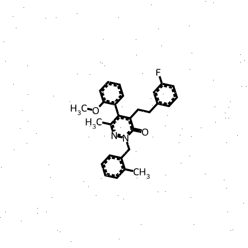 COc1ccccc1-c1c(C)nn(Cc2ccccc2C)c(=O)c1CCc1cccc(F)c1